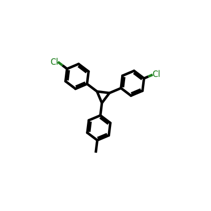 Cc1ccc(C2C(c3ccc(Cl)cc3)C2c2ccc(Cl)cc2)cc1